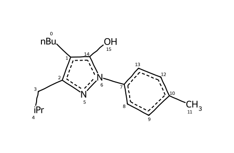 CCCCc1c(CC(C)C)nn(-c2ccc(C)cc2)c1O